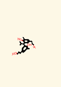 Cc1cc(CCCO)cc(C(c2cc(CCCO)cc(C)c2O)C(C)C)c1O